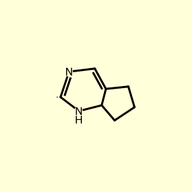 [C]1=NC=C2CCCC2N1